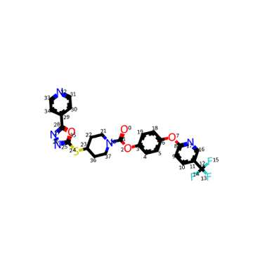 O=C(Oc1ccc(Oc2ccc(C(F)(F)F)cn2)cc1)N1CCC(Sc2nnc(-c3ccncc3)o2)CC1